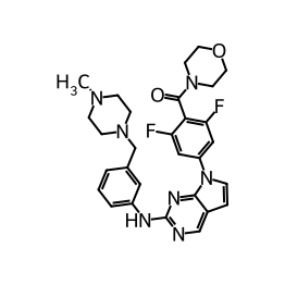 CN1CCN(Cc2cccc(Nc3ncc4ccn(-c5cc(F)c(C(=O)N6CCOCC6)c(F)c5)c4n3)c2)CC1